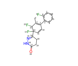 CC1=C(c2ccccc2F)C=CC(F)(C2=NNC(=O)CC2)C1F